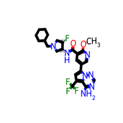 COc1ncc(-c2cc(C(F)(F)F)c3c(N)ncnn23)cc1C(=O)N[C@@H]1CN(CC2CCCCC2)C[C@@H]1F